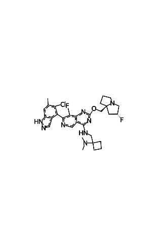 Cc1cc2[nH]ncc2c(-c2ncc3c(NCC4(N(C)C)CCC4)nc(OC[C@@]45CCCN4C[C@H](F)C5)nc3c2F)c1Cl